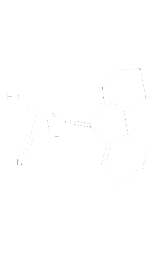 CC(C)(C)O.CCC#N.O=C1C2=C(CCCC2)c2ccccc21